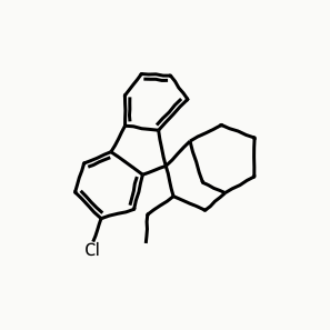 CCC1CC2CCCC(C2)C12c1ccccc1-c1ccc(Cl)cc12